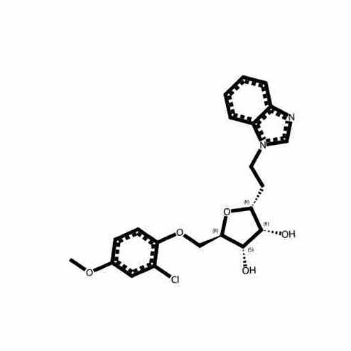 COc1ccc(OC[C@H]2O[C@H](CCn3cnc4ccccc43)[C@H](O)[C@@H]2O)c(Cl)c1